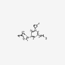 COc1cc(N)cc(-c2ccnn2C)c1